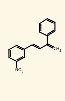 C=C(C=Cc1cccc([N+](=O)[O-])c1)c1ccccc1